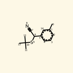 Cc1cccc(C(C#N)SC(C)(C)C)c1